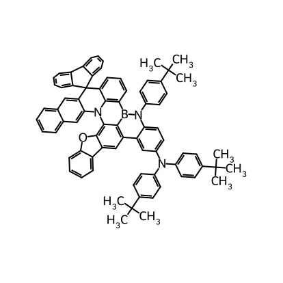 CC(C)(C)c1ccc(N2B3c4cccc5c4N(c4cc6ccccc6cc4C54c5ccccc5-c5ccccc54)c4c3c(cc3c4oc4ccccc43)-c3cc(N(c4ccc(C(C)(C)C)cc4)c4ccc(C(C)(C)C)cc4)ccc32)cc1